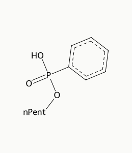 CCCCCOP(=O)(O)c1ccccc1